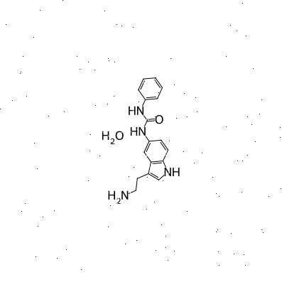 NCCc1c[nH]c2ccc(NC(=O)Nc3ccccc3)cc12.O